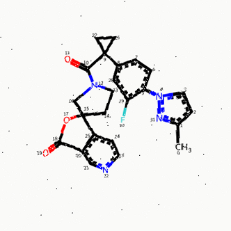 Cc1ccn(-c2ccc(C3(C(=O)N4CCC5(C4)OC(=O)c4cnccc45)CC3)cc2F)n1